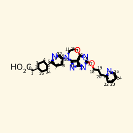 O=C(O)C[C@H]1CC[C@@H](c2ccc(N3CCOc4nc(OCCCc5ccccn5)nc5c4C3=N5)cn2)CC1